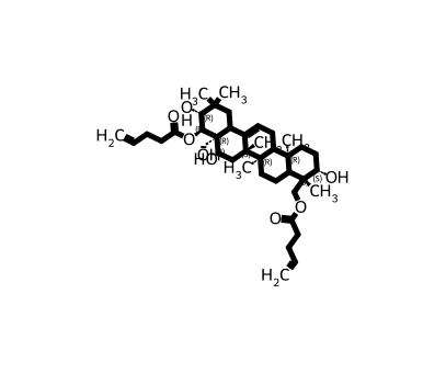 C=CCCC(=O)OC[C@]1(C)C2CC[C@]3(C)C(CC=C4C5CC(C)(C)[C@@H](O)[C@H](OC(=O)CCC=C)[C@]5(CO)[C@H](O)C[C@]43C)[C@@]2(C)CC[C@@H]1O